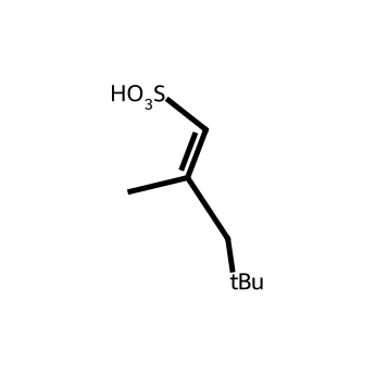 C/C(=C\S(=O)(=O)O)CC(C)(C)C